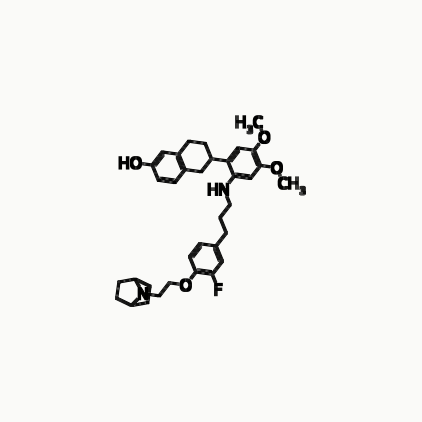 COc1cc(NCCCc2ccc(OCCN3C4CCC3CC4)c(F)c2)c(C2CCc3cc(O)ccc3C2)cc1OC